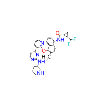 Cc1ccc2c(NC(=O)[C@@H]3C[C@H]3C(F)F)cccc2c1Oc1ncccc1-c1ccnc(NC2CCCNC2)n1